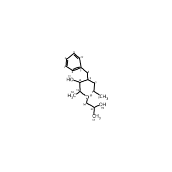 CCCC(Cc1ccccc1)C(O)C(C)OCC(C)O